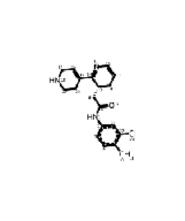 Cc1ccc(NC(=O)C[C@H]2CC=CN=C2C2=CCNCC2)cc1Cl